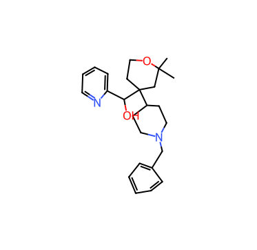 CC1(C)CC(C2CCN(Cc3ccccc3)CC2)(C(O)c2ccccn2)CCO1